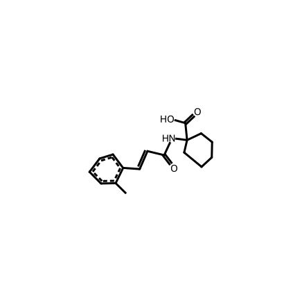 Cc1ccccc1C=CC(=O)NC1(C(=O)O)CCCCC1